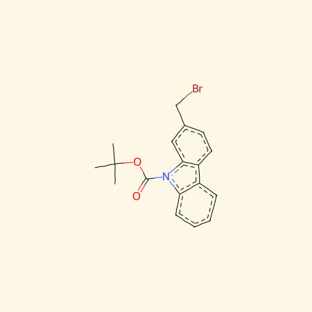 CC(C)(C)OC(=O)n1c2ccccc2c2ccc(CBr)cc21